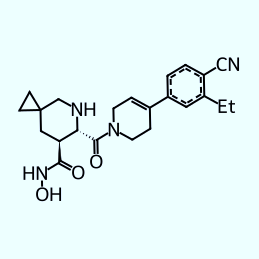 CCc1cc(C2=CCN(C(=O)[C@H]3NCC4(CC4)C[C@@H]3C(=O)NO)CC2)ccc1C#N